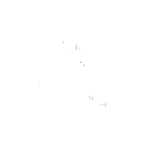 Cc1cccc(-c2cn(CC/C=N/O)c3cccc[n+]3c2=O)c1